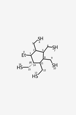 CCC1C(CS)C(CS)C(CS)C(CS)[C@@H]1CS